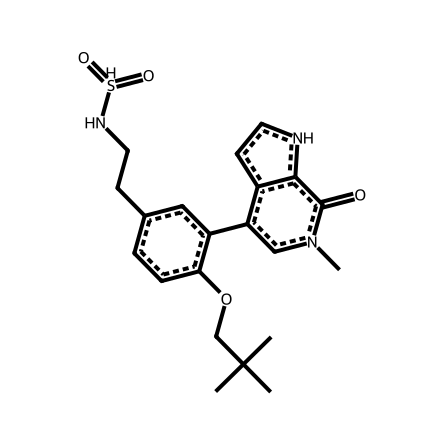 Cn1cc(-c2cc(CCN[SH](=O)=O)ccc2OCC(C)(C)C)c2cc[nH]c2c1=O